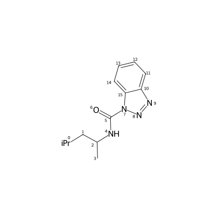 CC(C)CC(C)NC(=O)n1nnc2ccccc21